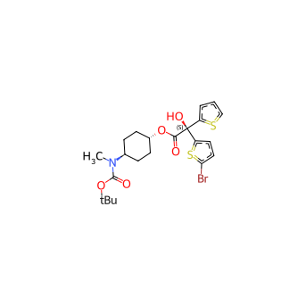 CN(C(=O)OC(C)(C)C)[C@H]1CC[C@H](OC(=O)[C@](O)(c2cccs2)c2ccc(Br)s2)CC1